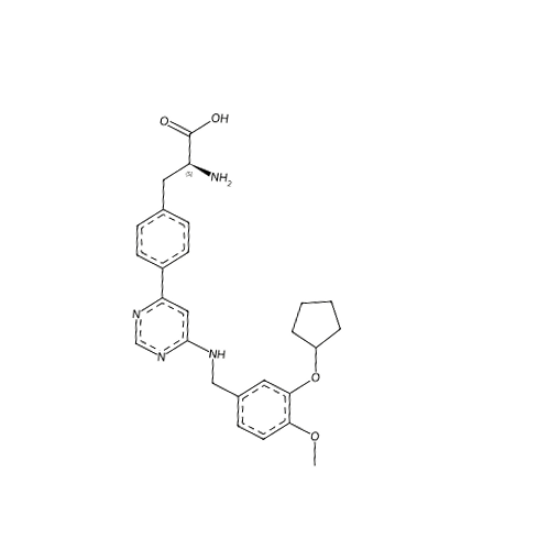 COc1ccc(CNc2cc(-c3ccc(C[C@H](N)C(=O)O)cc3)ncn2)cc1OC1CCCC1